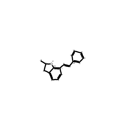 [CH2]C1Cc2cccc(/C=C/c3ccccc3)c2O1